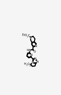 CCOC(=O)N1CCc2cnc(C(=O)Nc3cccc(-c4nnc5n4[C@H](C)CC5)n3)cc2C1